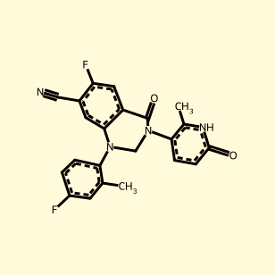 Cc1cc(F)ccc1N1CN(c2ccc(=O)[nH]c2C)C(=O)c2cc(F)c(C#N)cc21